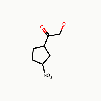 O=C(CO)C1CCC([N+](=O)[O-])C1